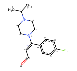 CC(C)N1CCN(/C(=C/C=O)c2ccc(F)cc2)CC1